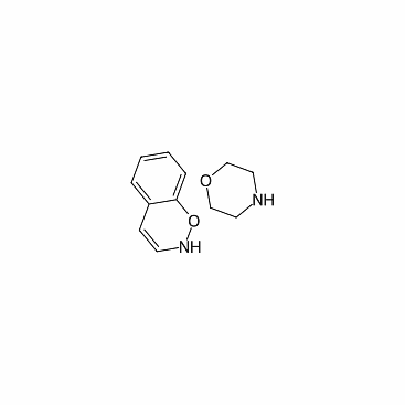 C1=Cc2ccccc2ON1.C1COCCN1